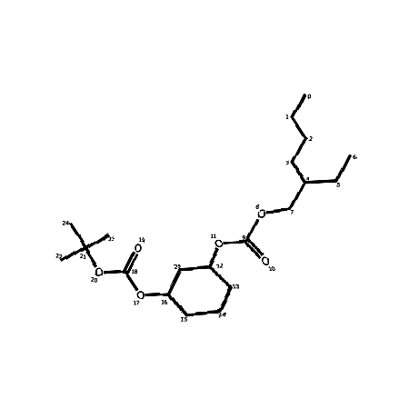 CCCCC(CC)COC(=O)OC1CCCC(OC(=O)OC(C)(C)C)C1